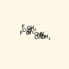 COc1cc(/C=C2\CCCN3C2=NO[C@H](c2cc(F)cc(F)c2)[C@@H]3C)ccc1-n1cnc(C)c1